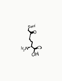 N[C@@H](CCC(=O)C[SeH])C(=O)O